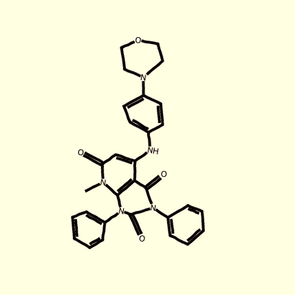 Cn1c(=O)cc(Nc2ccc(N3CCOCC3)cc2)c2c(=O)n(-c3ccccc3)c(=O)n(-c3ccccc3)c21